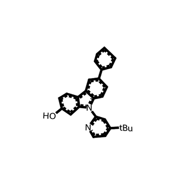 CC(C)(C)c1ccnc(-n2c3ccc(-c4ccccc4)cc3c3ccc(O)cc32)c1